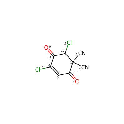 N#CC1(C#N)C(=O)C=C(Cl)C(=O)C1Cl